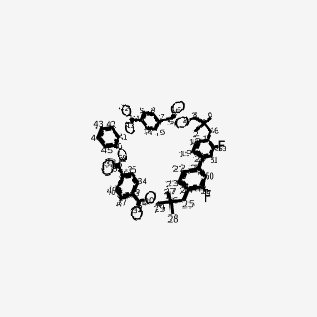 CC(C)(COC(=O)c1ccc(C([O])=O)cc1)Cc1ccc(-c2ccc(CC(C)(C)COC(=O)c3ccc(C(=O)Oc4cc[c]cc4)cc3)c(F)c2)cc1F